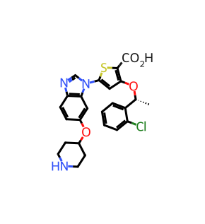 C[C@@H](Oc1cc(-n2cnc3ccc(OC4CCNCC4)cc32)sc1C(=O)O)c1ccccc1Cl